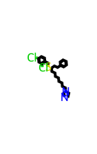 Clc1ccc(CSC(CCCCCCCCn2ccnc2)CCc2ccccc2)c(Cl)c1